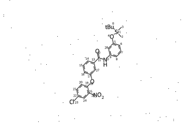 CC(C)(C)[Si](C)(C)Oc1cccc(NC(=O)c2cccc(Oc3ccc(Cl)cc3[N+](=O)[O-])c2)c1